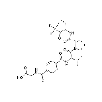 CCC(NC(=O)[C@@H]1CCCN1C(=O)C(NC(=O)c1ccc(C(=O)NCC(=O)O)cc1)C(C)C)C(=O)C(F)(F)F